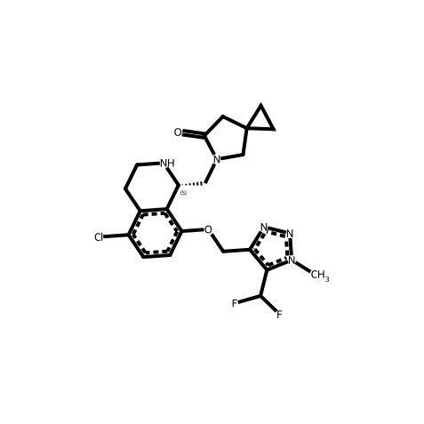 Cn1nnc(COc2ccc(Cl)c3c2[C@@H](CN2CC4(CC4)CC2=O)NCC3)c1C(F)F